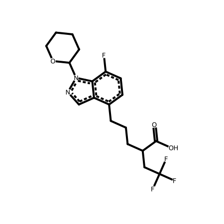 O=C(O)C(CCCc1ccc(F)c2c1cnn2C1CCCCO1)CC(F)(F)F